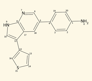 Nc1ccc(-c2cnc3[nH]cc(-c4ccsc4)c3c2)cc1